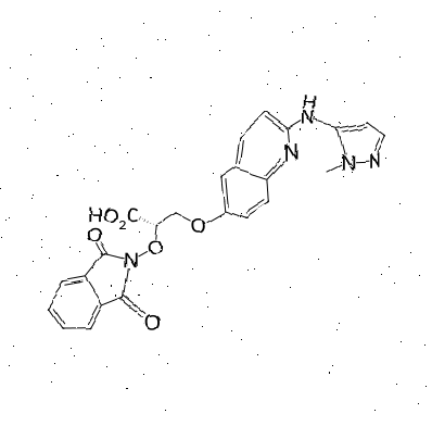 Cn1nccc1Nc1ccc2cc(OC[C@H](ON3C(=O)c4ccccc4C3=O)C(=O)O)ccc2n1